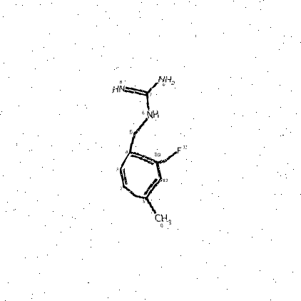 Cc1ccc(CNC(=N)N)c(F)c1